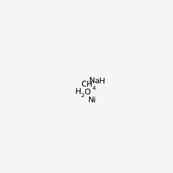 C.O.[NaH].[Ni]